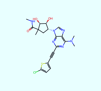 CNC(=O)C1(C)C[C@@H](n2cnc3c(N(C)C)nc(C#Cc4ccc(Cl)s4)nc32)[C@H](O)[C@@H]1O